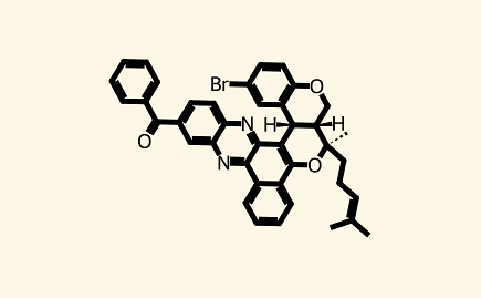 CC(C)=CCC[C@@]1(C)Oc2c(c3nc4ccc(C(=O)c5ccccc5)cc4nc3c3ccccc23)[C@@H]2c3cc(Br)ccc3OC[C@@H]21